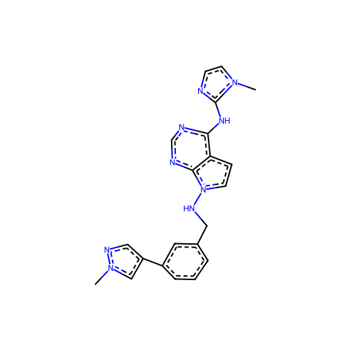 Cn1cc(-c2cccc(CNn3ccc4c(Nc5nccn5C)ncnc43)c2)cn1